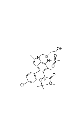 COC(=O)[C@@H](OC(C)(C)C)c1c(C)c2c3c(cc(C)n3C[C@H](CCO)N2S(C)(=O)=O)c1-c1ccc(Cl)cc1